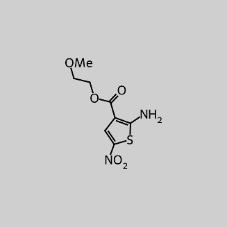 COCCOC(=O)c1cc([N+](=O)[O-])sc1N